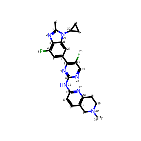 Cc1nc2c(F)cc(-c3nc(Nc4ccc5c(n4)CCN(C(C)C)C5)ncc3F)cc2n1C1CC1